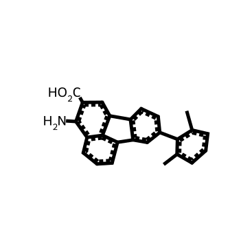 Cc1cccc(C)c1-c1ccc2c(c1)-c1cccc3c(N)c(C(=O)O)cc-2c13